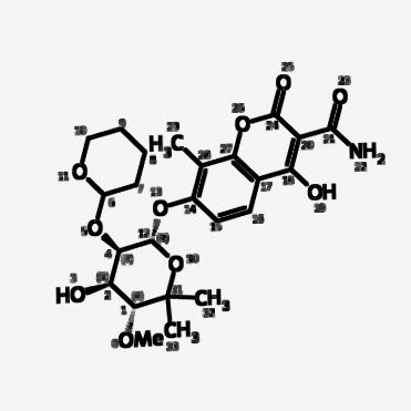 CO[C@@H]1[C@@H](O)[C@@H](OC2CCCCO2)[C@H](Oc2ccc3c(O)c(C(N)=O)c(=O)oc3c2C)OC1(C)C